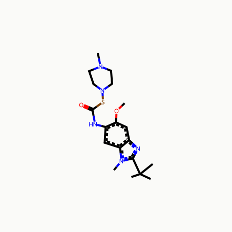 COc1cc2nc(C(C)(C)C)n(C)c2cc1NC(=O)SN1CCN(C)CC1